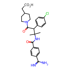 CC(C)(NC(=O)c1ccc(C(=N)N)cc1)C(C(=O)N1CCC(CC(=O)O)CC1)c1ccc(Cl)cc1